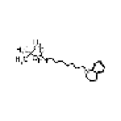 CC(C)(C)OC(=O)NCCCCCCCN1CCCc2ccccc21